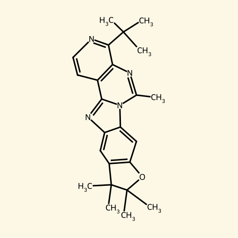 Cc1nc2c(C(C)(C)C)nccc2c2nc3cc4c(cc3n12)OC(C)(C)C4(C)C